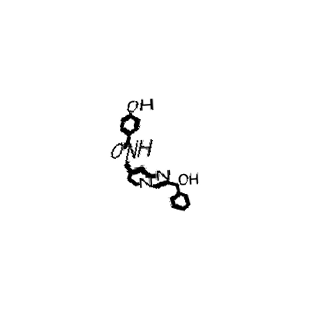 O=C(NCc1ccn2cc(C(O)c3ccccc3)nc2c1)c1ccc(O)cc1